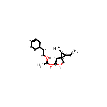 CCC1[C@H](C)C12COC(OC(C)OCCC1CC=CCC1)C2